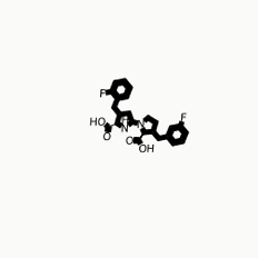 O=C(O)[C@H]1NC(N2CCC(Cc3cccc(F)c3)[C@H]2C(=O)O)CC1Cc1ccccc1F